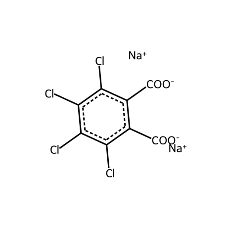 O=C([O-])c1c(Cl)c(Cl)c(Cl)c(Cl)c1C(=O)[O-].[Na+].[Na+]